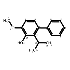 COc1ccc(-c2ccccc2)c(C(C)C)c1O